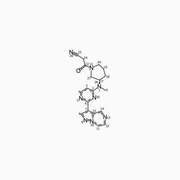 CN(c1ccnc(-c2cnn3ccncc23)n1)[C@@H]1CCCN(C(=O)CC#N)C1